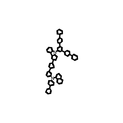 c1ccc(-c2ccc(-c3cc(-c4ccc(-c5ccccc5)cc4)cc(-n4c5ccccc5c5cc(-c6ccc(-c7cccc(N(c8ccc(-c9ccccc9)cc8)c8cccc9ccccc89)c7)cc6)ccc54)c3)cc2)cc1